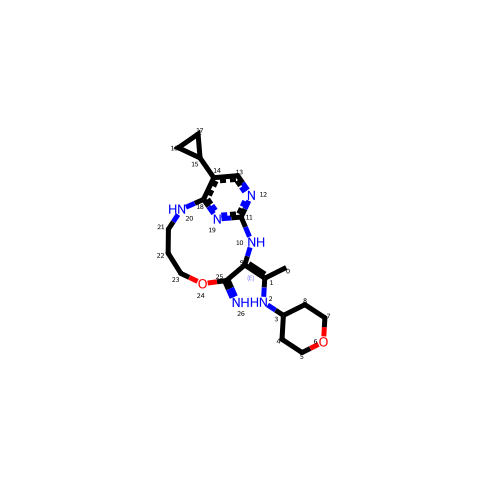 C/C(NC1CCOCC1)=C1\Nc2ncc(C3CC3)c(n2)NCCCOC1=N